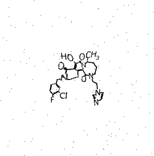 CC1CCCN(CCn2ccnc2)C(=O)c2c3c(c(O)c(=O)n21)C(=O)N(Cc1ccc(F)c(Cl)c1)CC3